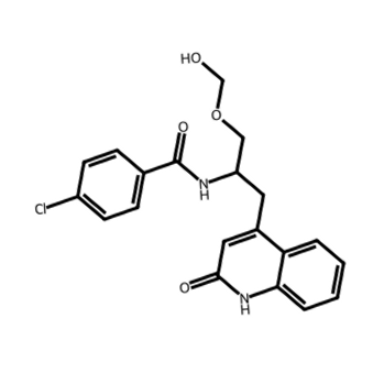 O=C(NC(COCO)Cc1cc(=O)[nH]c2ccccc12)c1ccc(Cl)cc1